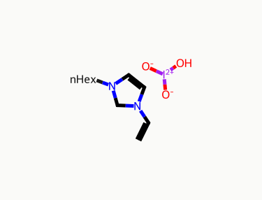 C=CN1C=CN(CCCCCC)C1.[O-][I+2]([O-])O